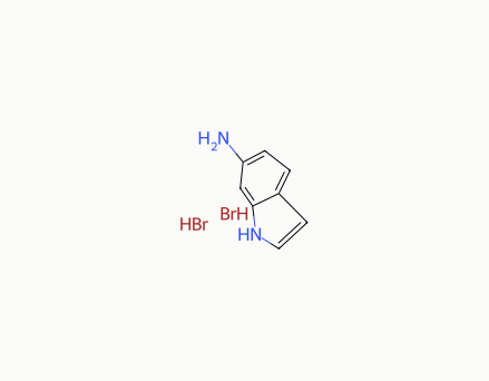 Br.Br.Nc1ccc2cc[nH]c2c1